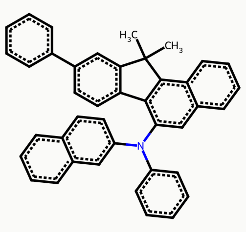 CC1(C)c2cc(-c3ccccc3)ccc2-c2c(N(c3ccccc3)c3ccc4ccccc4c3)cc3ccccc3c21